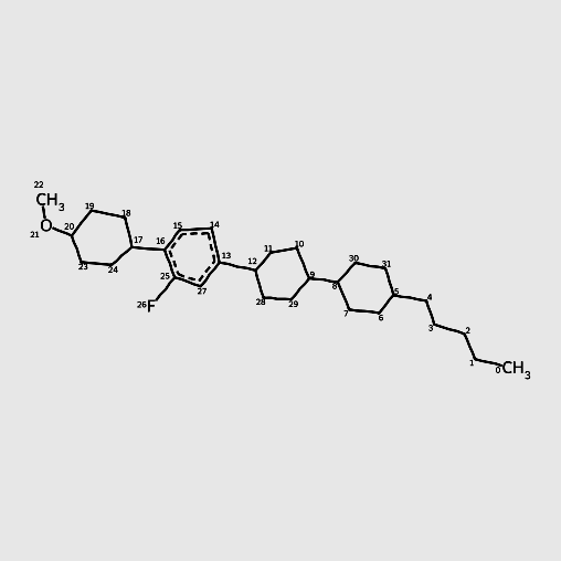 CCCCCC1CCC(C2CCC(c3ccc(C4CCC(OC)CC4)c(F)c3)CC2)CC1